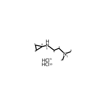 CN(C)CCNC1CC1.Cl.Cl